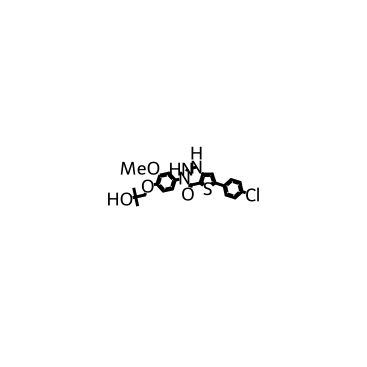 COc1cc(N2NNc3cc(-c4ccc(Cl)cc4)sc3C2=O)ccc1OCC(C)(C)O